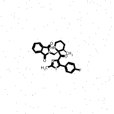 Cc1nc(C(=O)[C@]2(CN3C(=O)c4ccccc4C3=O)NCCC[C@H]2C)c(-c2ccc(F)cc2)s1